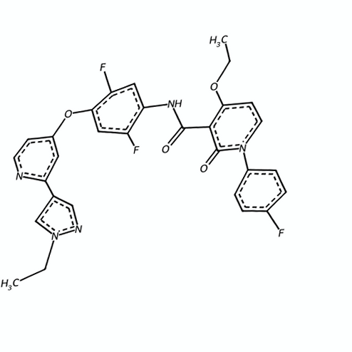 CCOc1ccn(-c2ccc(F)cc2)c(=O)c1C(=O)Nc1cc(F)c(Oc2ccnc(-c3cnn(CC)c3)c2)cc1F